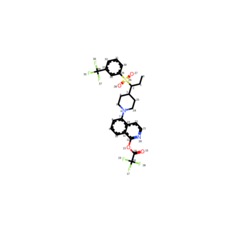 CCC(C1CCN(c2cccc3c(OC(=O)C(F)(F)F)nccc23)CC1)S(=O)(=O)c1cccc(C(F)(F)F)c1